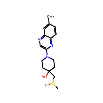 COc1ccc2nc(N3CCC(O)(C[S+](C)[O-])CC3)cnc2c1